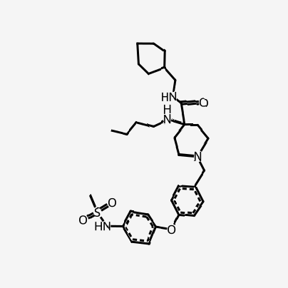 CCCCNC1(C(=O)NCC2CCCCC2)CCN(Cc2ccc(Oc3ccc(NS(C)(=O)=O)cc3)cc2)CC1